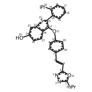 CCCc1nnc(C=Cc2ccc(Oc3c(-c4ccccc4C(C)C)sc4cc(O)ccc34)cc2)o1